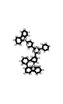 c1ccc(-c2nc(-c3ccc(-n4c5ccccc5c5ccccc54)cc3)nc(-c3ccc4c(c3)-c3ccccc3-c3cccc5c6ccccc6n-4c35)n2)cc1